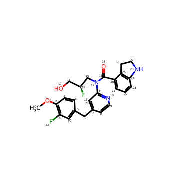 COc1ccc(Cc2ccnc(N(C[C@@H](F)CO)C(=O)c3cccc4c3CCN4)c2)cc1F